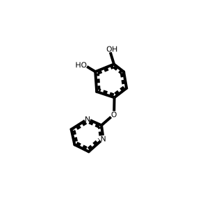 Oc1ccc(Oc2ncccn2)cc1O